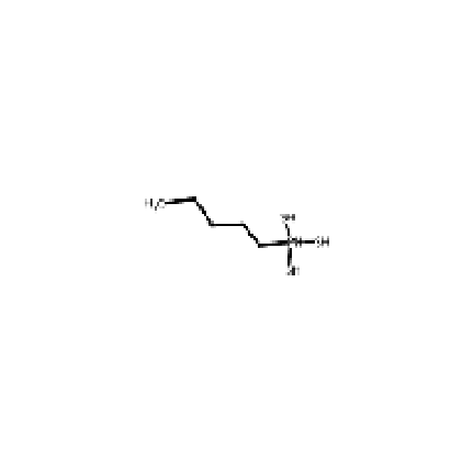 CCCCC[PH](S)(S)S